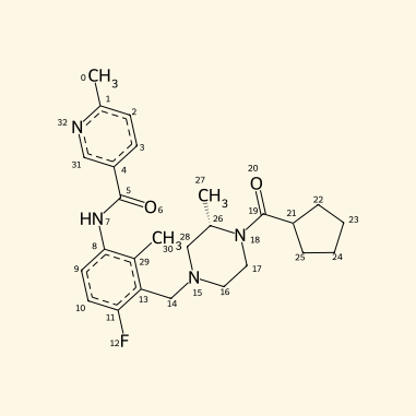 Cc1ccc(C(=O)Nc2ccc(F)c(CN3CCN(C(=O)C4CCCC4)[C@@H](C)C3)c2C)cn1